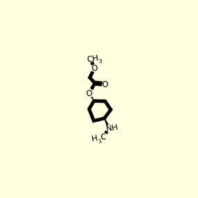 CN[C@H]1CC[C@H](OC(=O)COC)CC1